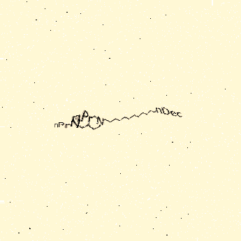 CCCCCCCCCCCCCCCCCCCCCCN1CCC(CN(CCC)CCC)CC1